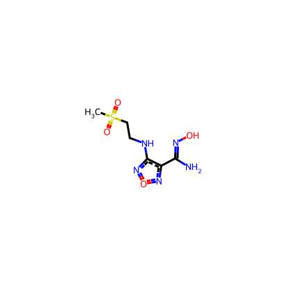 CS(=O)(=O)CCNc1nonc1C(N)=NO